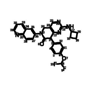 O=C1C(c2ccc(OC(F)F)cc2)c2nc(NC3CCC3)ncc2CN1c1ccc2ncccc2c1